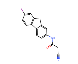 N#CCC(=O)Nc1ccc2c(c1)Cc1cc(I)ccc1-2